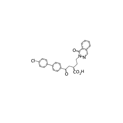 O=C(C[C@@H](CCn1ncc2ccccc2c1=O)C(=O)O)c1ccc(-c2ccc(Cl)cc2)cc1